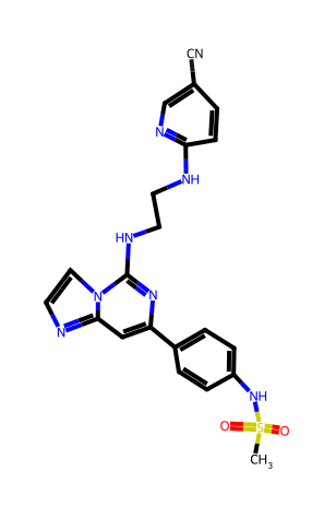 CS(=O)(=O)Nc1ccc(-c2cc3nccn3c(NCCNc3ccc(C#N)cn3)n2)cc1